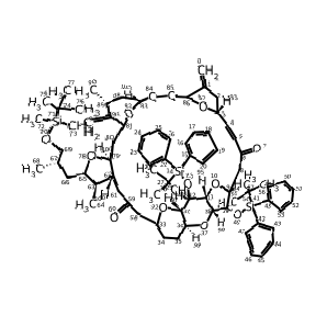 C=C1C[C@@H]2/C=C/C(=O)C[C@H]3O[C@H]4[C@@H](O[Si](c5ccccc5)(c5ccccc5)C(C)(C)C)[C@H]5OC(CC[C@@H]5O[C@H]4[C@H]3O[Si](c3ccccc3)(c3ccccc3)C(C)(C)C)CC(=O)C[C@@H]3[C@@H](C)[C@@H](C[C@H](C)CO[Si](C)(C)C(C)(C)C)O[C@H]3CC3O[C@@H](CCC1O2)C[C@@H](C)C3=C